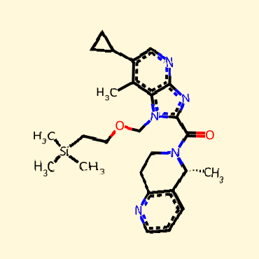 Cc1c(C2CC2)cnc2nc(C(=O)N3CCc4ncccc4[C@H]3C)n(COCC[Si](C)(C)C)c12